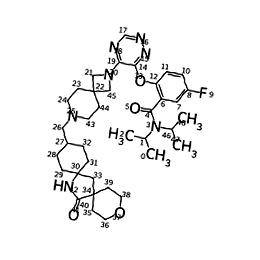 CC(C)N(C(=O)c1cc(F)ccc1Oc1nncnc1N1CC2(CCN(CC3CCC4(CC3)CC3(CCOCC3)C(=O)N4)CC2)C1)C(C)C